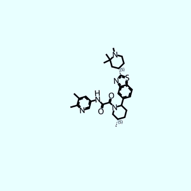 Cc1cc(NC(=O)C(=O)N2C[C@@H](C)CCC2c2ccc3sc([C@H]4CCN(C)C(C)(C)C4)nc3c2)cnc1C